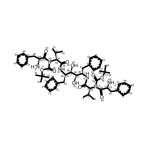 CC(C)[C@@H](C(=O)N[C@H](Cc1ccccc1)[C@@H](O)[C@H](O)[C@@H](Cc1ccccc1)NC(=O)[C@H](C(C)C)N(C(=O)OC(C)(C)C)C(=O)[C@@H](N)Cc1ccccc1)N(C(=O)OC(C)(C)C)C(=O)[C@@H](N)Cc1ccccc1